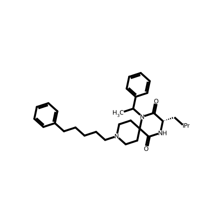 CC(C)C[C@@H]1NC(=O)C2(CCN(CCCCCc3ccccc3)CC2)N(C(C)c2ccccc2)C1=O